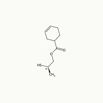 C[C@@H](S)COC(=O)C1CC=CCC1